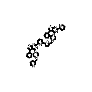 c1ccc(-c2csc3nc(-c4ccccn4)nc(N4CCN(CC5CCC(c6cccc(-c7nc(N8CCN(Cc9cccnc9)CC8)c8c(-c9ccccc9)csc8n7)n6)O5)CC4)c23)cc1